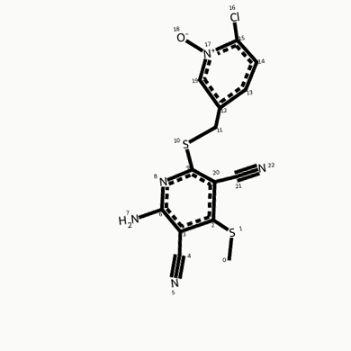 CSc1c(C#N)c(N)nc(SCc2ccc(Cl)[n+]([O-])c2)c1C#N